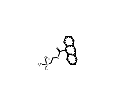 CC[N+](C)(C)CCOC(=O)c1c2ccccc2cc2ccccc12